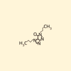 CCCCn1cnc2ncn(CCCC)c2c1=O